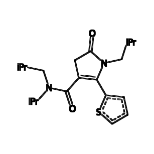 CC(C)CN1C(=O)CC(C(=O)N(CC(C)C)C(C)C)=C1c1cccs1